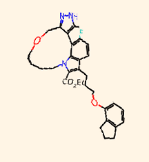 CCOC(=O)c1c(CCCOc2cccc3c2CCC3)c2ccc(F)c3c2n1CCCCOCc1n[nH]c(C)c1-3